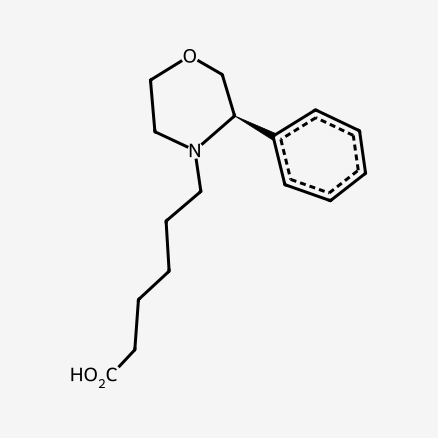 O=C(O)CCCCCN1CCOC[C@H]1c1ccccc1